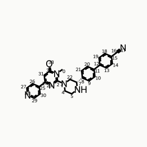 Cn1c(N2CCN[C@@H](c3ccc(-c4ccc(C#N)cc4)cc3)C2)nc(-c2ccncc2)cc1=O